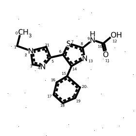 CCn1cnc(-c2sc(NC(=O)O)nc2-c2ccccc2)c1